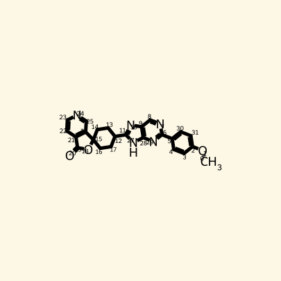 COc1ccc(-c2ncc3nc(C4CCC5(CC4)OC(=O)c4ccncc45)[nH]c3n2)cc1